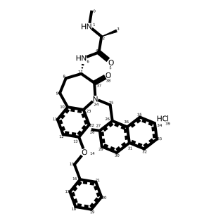 CN[C@@H](C)C(=O)N[C@H]1CCc2ccc(OCc3ccccc3)cc2N(Cc2c(C)ccc3ccccc23)C1=O.Cl